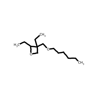 CCCCCCOCC1(CC)COC1CC